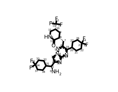 N[C@H](c1cn2nc(C[C@H]3C[C@@H](C(F)(F)F)CNC3=O)c(C3CCC(F)(F)CC3)nc2n1)C1CCC(F)(F)CC1